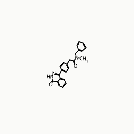 CN(Cc1ccccc1)C(=O)Cc1ccc(-c2n[nH]c(=O)c3ccccc23)cc1